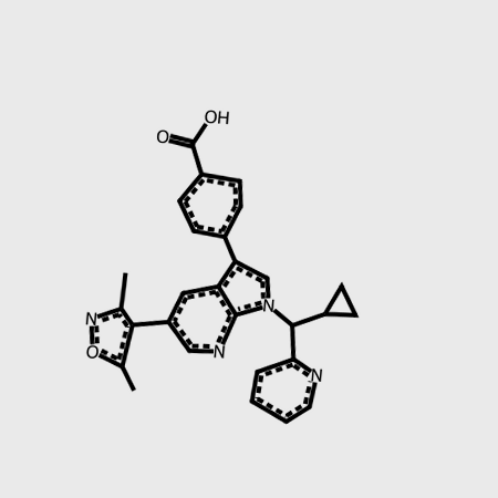 Cc1noc(C)c1-c1cnc2c(c1)c(-c1ccc(C(=O)O)cc1)cn2C(c1ccccn1)C1CC1